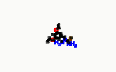 CCOc1cc(CN(N)C(N)=S)cc(OCC)c1